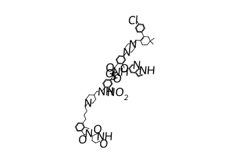 CC1(C)CCC(CN2CCN(c3ccc(C(=O)NS(=O)(=O)c4ccc(NCC5CCN(CCCCc6cccc7c6CN(C6CCC(=O)NC6=O)C7=O)CC5)c([N+](=O)[O-])c4)c(Oc4cnc5[nH]ccc5c4)c3)CC2)=C(c2ccc(Cl)cc2)C1